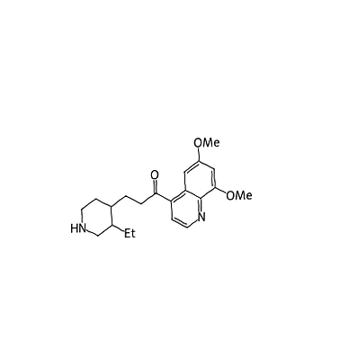 CCC1CNCCC1CCC(=O)c1ccnc2c(OC)cc(OC)cc12